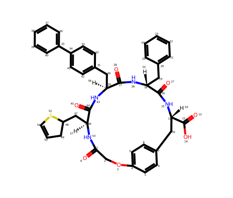 O=C1COc2ccc(cc2)C[C@@H](C(=O)O)NC(=O)[C@@H](Cc2ccccc2)NC(=O)[C@H](Cc2ccc(-c3ccccc3)cc2)NC(=O)[C@H](CC2CC=CS2)N1